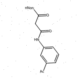 CCCCCCCCCC(=O)CC(=O)Nc1cccc(C(C)=O)c1